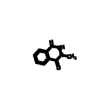 CN1NNc2ccccc2C1=O